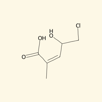 CC(=CC(O)CCl)C(=O)O